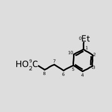 CCc1c[c]cc(CCCC(=O)O)c1